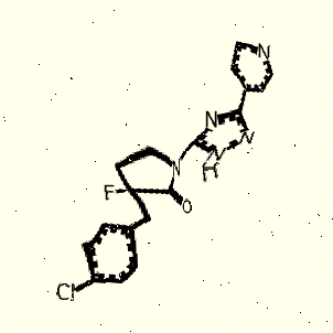 O=C1N(c2nc(-c3ccncc3)n[nH]2)CC[C@@]1(F)Cc1ccc(Cl)cc1